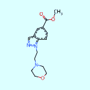 COC(=O)c1ccc2c(cnn2CCN2CCOCC2)c1